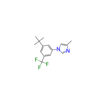 Cc1cn(-c2cc(C(C)(C)C)cc(C(F)(F)F)c2)cn1